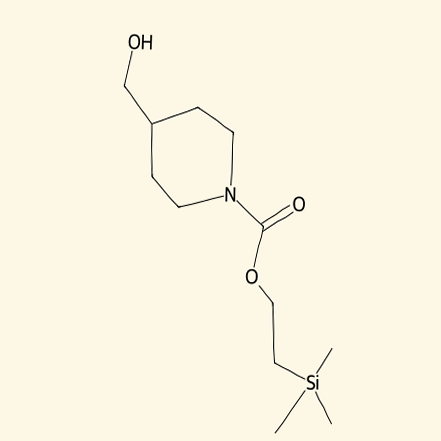 C[Si](C)(C)CCOC(=O)N1CCC(CO)CC1